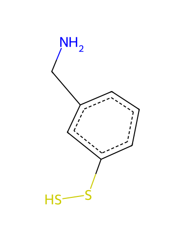 NCc1cccc(SS)c1